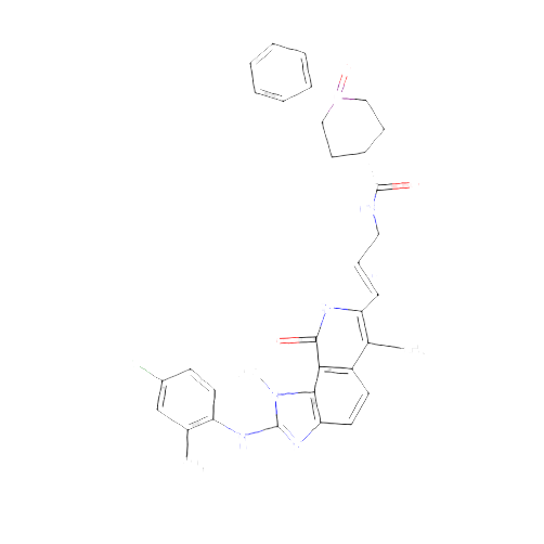 Cc1cc(F)ccc1Nc1nc2ccc3c(C)c(/C=C/CNC(=O)[C@H]4CC[P@@](=O)(c5ccccc5)CC4)[nH]c(=O)c3c2n1C